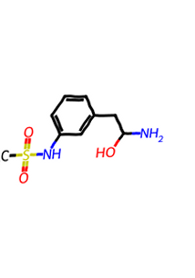 CS(=O)(=O)Nc1cccc(CC(N)O)c1